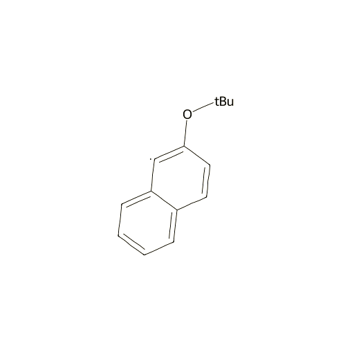 CC(C)(C)Oc1[c]c2ccccc2cc1